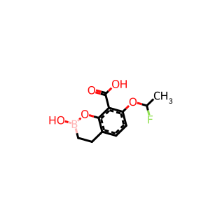 CC(F)Oc1ccc2c(c1C(=O)O)OB(O)CC2